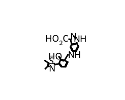 Cc1nc(-c2cccc(CNc3ccc4[nH]nc(C(=O)O)c4c3)c2O)sc1C